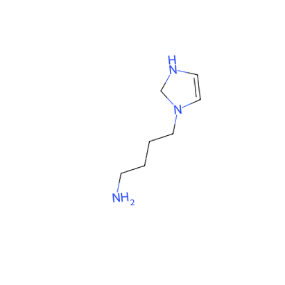 NCCCCN1C=CNC1